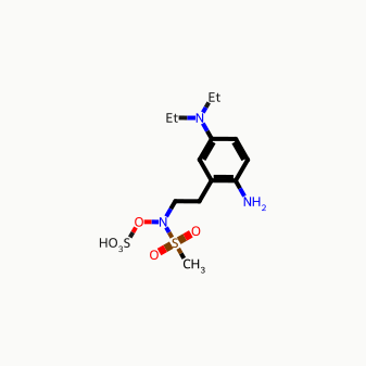 CCN(CC)c1ccc(N)c(CCN(OS(=O)(=O)O)S(C)(=O)=O)c1